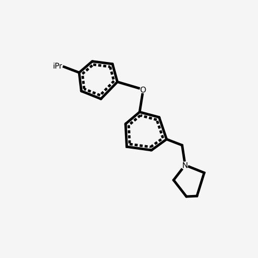 CC(C)c1ccc(Oc2cccc(CN3CCCC3)c2)cc1